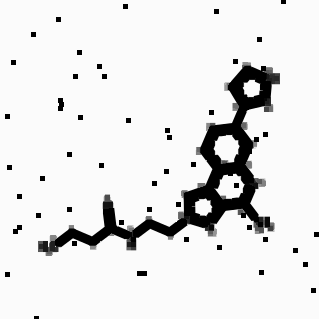 CCCC(=O)NCCn1cc2c(n1)c(N)nc1cc(-c3cc[nH]n3)ccc12